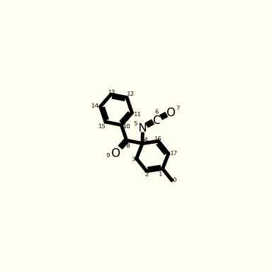 CC1=CCC(N=C=O)(C(=O)c2ccccc2)C=C1